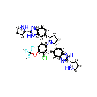 FC(F)(F)Oc1ccc(N2[C@@H](c3ccc4nc([C@@H]5CCCN5)[nH]c4c3)CC[C@@H]2c2ccc3nc([C@@H]4CCCN4)[nH]c3c2)cc1Cl